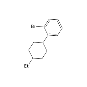 CCC1CCC(c2ccccc2Br)CC1